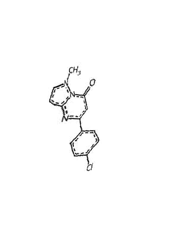 Cn1ccc2nc(-c3ccc(Cl)cc3)cc(=O)n21